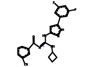 N#Cc1cccc(C(=O)/N=C(\Nc2cc(-c3cc(F)cc(F)c3)[nH]n2)NC2CCC2)c1